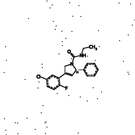 CCNC(=O)N1CC(c2cc(Cl)ccc2F)=C[C@H]1c1ccccc1